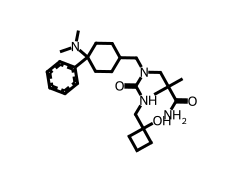 CN(C)C1(c2ccccc2)CCC(CN(CC(C)(C)C(N)=O)C(=O)NCC2(O)CCC2)CC1